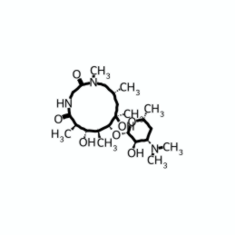 C[C@H]1CN(C)C(=O)CNC(=O)[C@H](C)[C@@H](O)[C@H](C)[C@@H](O[C@@H]2O[C@H](C)C[C@H](N(C)C)[C@H]2O)[C@](C)(O)C1